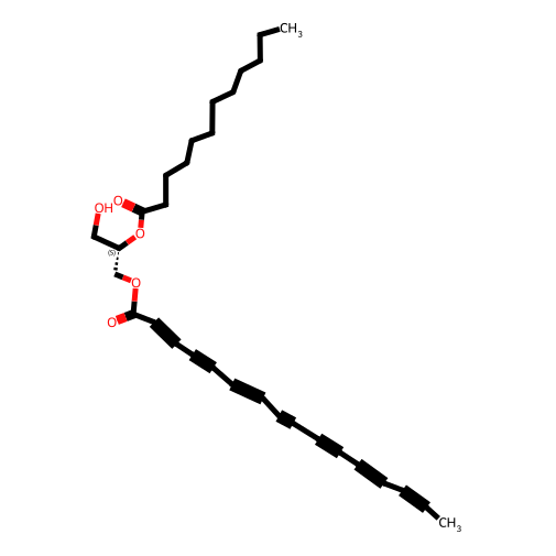 CC#CC#CC#CC#CC#CC#CC#CC(=O)OC[C@H](CO)OC(=O)CCCCCCCCCCC